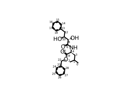 CC(C)C[C@H](NC(=O)[C@@H](O)C(O)Cc1ccccc1)C(=O)OCc1ccccc1